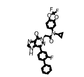 O=C(Cn1nc(-c2ccc(-c3ccccc3)c(F)c2)c2[nH]cnc2c1=O)N(c1ccc2c(c1)OC(F)(F)O2)C1CC1